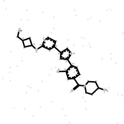 CC1CCN(C(=O)c2ccc(-c3cc(-c4ccnc(OC5CC(CO)C5)c4)cs3)c(Cl)c2)CC1